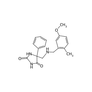 COc1ccc(C)c(CNCC2(c3ccccc3)NC(=O)NC2=O)c1